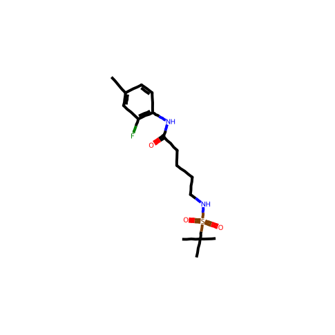 Cc1ccc(NC(=O)CCCCNS(=O)(=O)C(C)(C)C)c(F)c1